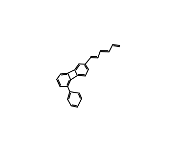 C=CC=CC=Cc1ccc2c(c1)-c1cccc(-c3ccccc3)c1-2